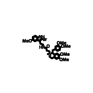 COc1ccc2[nH]c(Br)c(CCNC(=O)CC[N+]3(C)CCc4cc(OC)c(OC)cc4C3Cc3ccc(OC)c(OC)c3)c2c1